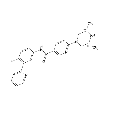 C[C@@H]1CN(c2ccc(C(=O)Nc3ccc(Cl)c(-c4ccccn4)c3)cn2)C[C@H](C)N1